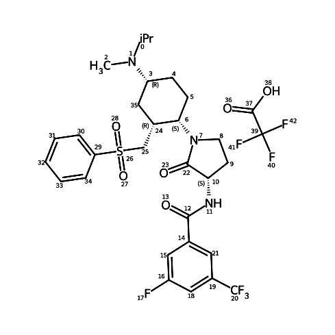 CC(C)N(C)[C@@H]1CC[C@H](N2CC[C@H](NC(=O)c3cc(F)cc(C(F)(F)F)c3)C2=O)[C@H](CS(=O)(=O)c2ccccc2)C1.O=C(O)C(F)(F)F